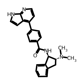 CN(C)[C@@H]1Cc2ccccc2[C@H]1NC(=O)c1ccc(-c2ccnc3[nH]ccc23)cc1